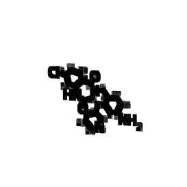 Nc1ccc(CN2C(=O)c3ccc(Cl)cc3NC(=O)[C@H]2Cc2cccnc2)cc1